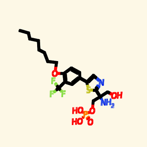 CCCCCCCCOc1ccc(-c2cnc(C(N)(CO)COP(=O)(O)O)s2)cc1C(F)(F)F